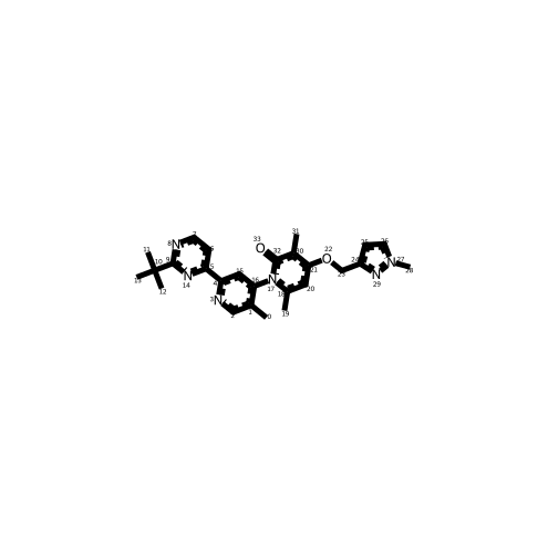 Cc1cnc(-c2ccnc(C(C)(C)C)n2)cc1-n1c(C)cc(OCc2ccn(C)n2)c(C)c1=O